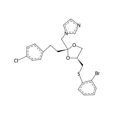 Clc1ccc(CC[C@@]2(Cn3ccnc3)OC[C@@H](CSc3ccccc3Br)O2)cc1